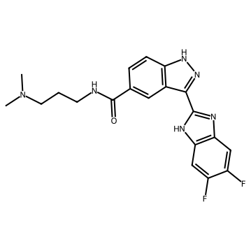 CN(C)CCCNC(=O)c1ccc2[nH]nc(-c3nc4cc(F)c(F)cc4[nH]3)c2c1